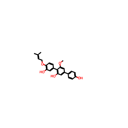 COc1cc(-c2ccc(O)cc2)cc(O)c1-c1ccc(OCC=C(C)C)c(O)c1